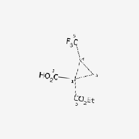 CCOC(=O)C1(C(=O)O)CC1C(F)(F)F